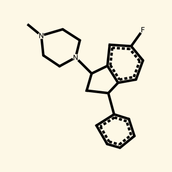 CN1CCN(C2CC(c3ccccc3)c3ccc(F)cc32)CC1